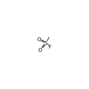 CS(=O)(=O)F